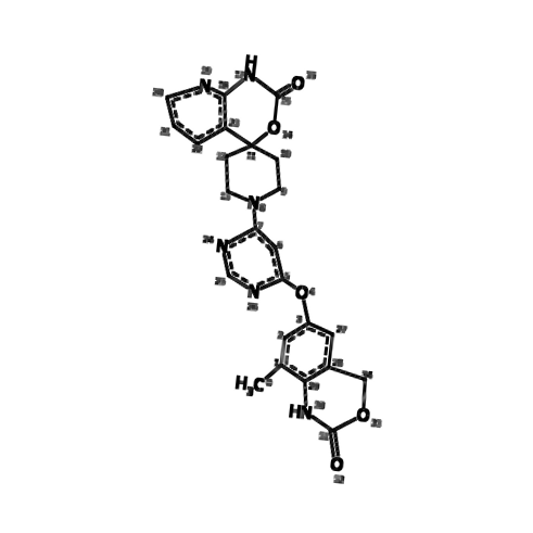 Cc1cc(Oc2cc(N3CCC4(CC3)OC(=O)Nc3ncccc34)ncn2)cc2c1NC(=O)OC2